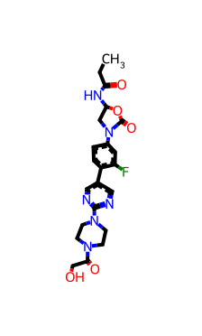 CCC(=O)NC1CN(c2ccc(-c3cnc(N4CCN(C(=O)CO)CC4)nc3)c(F)c2)C(=O)O1